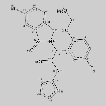 COCOc1ccc(F)cc1[C@H](C(=O)Nc1nccs1)N1Cc2ccc(Br)cc2C1=O